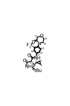 CC(C)(C)CN(C1CC1)[C@H](C(N)=O)C(=O)Nc1ccc(N2CCOCC2=O)c(C(F)(F)F)c1